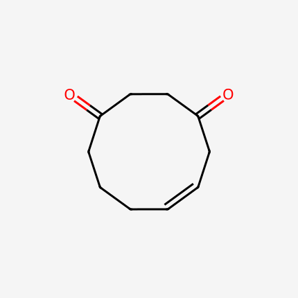 O=C1C/C=C\CCCC(=O)CC1